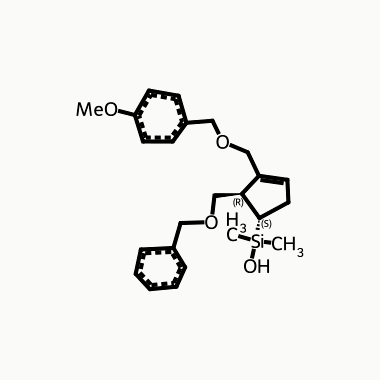 COc1ccc(COCC2=CC[C@H]([Si](C)(C)O)[C@H]2COCc2ccccc2)cc1